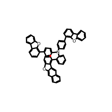 c1ccc(N(c2ccc(-c3cccc4c3oc3ccccc34)cc2)c2ccc(-c3cccc4c3oc3ccccc34)cc2)c(-c2cccc3oc4cc5ccccc5cc4c23)c1